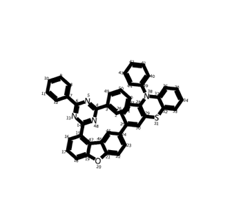 c1ccc(-c2nc(-c3ccccc3)nc(-c3cccc4oc5ccc(-c6ccc7c(c6)Sc6ccccc6N7c6ccccc6)cc5c34)n2)cc1